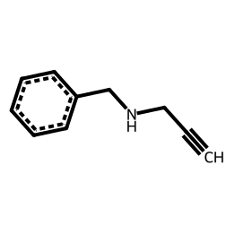 C#CCNCc1ccccc1